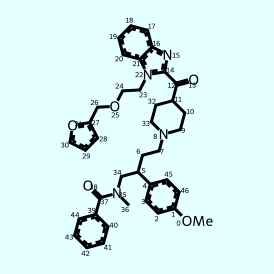 COc1ccc(C(CCN2CCC(C(=O)c3nc4ccccc4n3CCOCc3ccco3)CC2)CN(C)C(=O)c2ccccc2)cc1